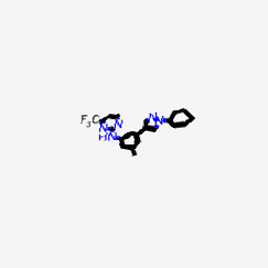 Cc1cc(Nc2nccc(C(F)(F)F)n2)cc(-c2cnn(C3C=CCCC3)c2)c1